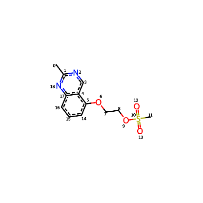 Cc1ncc2c(OCCOS(C)(=O)=O)cccc2n1